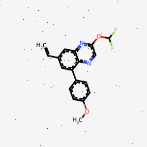 C=Cc1cc(-c2ccc(OC)cc2)c2ncc(OC(F)F)nc2c1